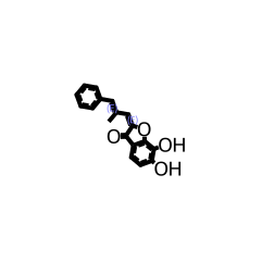 CC(=C\c1ccccc1)/C=C1/Oc2c(ccc(O)c2O)C1=O